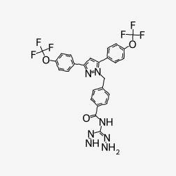 N=N/C(=N\N)NC(=O)c1ccc(Cn2nc(-c3ccc(OC(F)(F)F)cc3)cc2-c2ccc(OC(F)(F)F)cc2)cc1